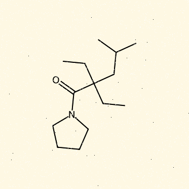 CCC(CC)(CC(C)C)C(=O)N1CCCC1